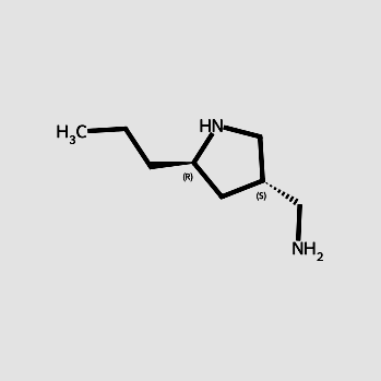 CCC[C@@H]1C[C@@H](CN)CN1